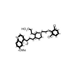 COc1ccc2nccc([C@@H](F)CCC3CCN(CCSc4c(Cl)cccc4Cl)CC3CCC(=O)O)c2c1